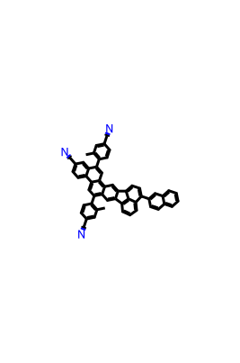 Cc1cc(C#N)ccc1-c1cc2c3cc4c(cc3c(-c3ccc(C#N)cc3C)cc2c2ccc(C#N)cc12)-c1cccc2c(-c3ccc5ccccc5c3)ccc-4c12